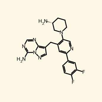 Nc1ncnc2c(Cc3cc(-c4ccc(F)c(F)c4)ncc3N3CCC[C@@H](N)C3)cnn12